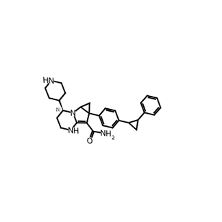 NC(=O)C1=C2NCC[C@@H](C3CCNCC3)N2C2CC12c1ccc(C2CC2c2ccccc2)cc1